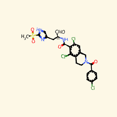 CS(=O)(=O)c1nc(C[C@@H](C=O)NC(=O)c2c(Cl)cc3c(c2Cl)CCN(C(=O)c2ccc(Cl)cc2)C3)c[nH]1